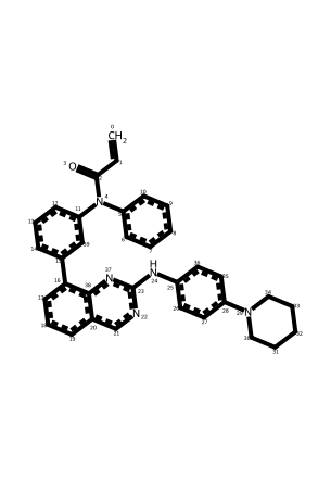 C=CC(=O)N(c1ccccc1)c1cccc(-c2cccc3cnc(Nc4ccc(N5CCCCC5)cc4)nc23)c1